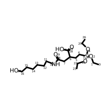 CCO[Si](CCC(CC(=O)NCCCCCCO)C(=O)O)(OCC)OCC